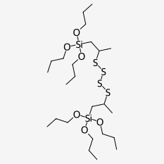 CCCO[Si](CC(C)SSSSC(C)C[Si](OCCC)(OCCC)OCCC)(OCCC)OCCC